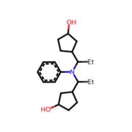 CCC(C1CCC(O)C1)N(c1ccccc1)C(CC)C1CCC(O)C1